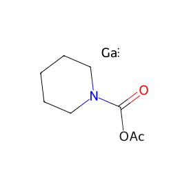 CC(=O)OC(=O)N1CCCCC1.[Ga]